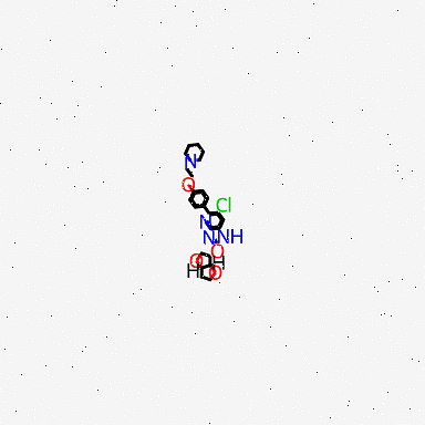 Clc1cc2[nH]c(OC3CO[C@@H]4CCO[C@H]34)nc2nc1-c1ccc(OCCN2CCCCC2)cc1